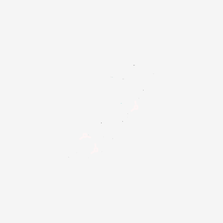 CC1COC(C2CCC(C(F)(F)Oc3cc(F)c(F)c(F)c3)CC2)OC1